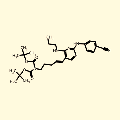 CCCNc1nc(Nc2ccc(C#N)cc2)ncc1C=CCCCN(C(=O)OC(C)(C)C)C(=O)OC(C)(C)C